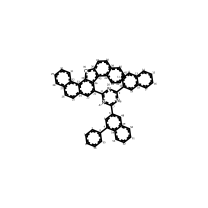 c1ccc(-c2cc(-c3nc(-c4ccc5ccccc5c4)nc(-c4cc5ccc6ccccc6c5c5oc6ccc7ccccc7c6c45)n3)cc3ccccc23)cc1